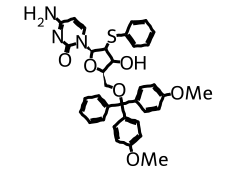 COc1ccc(C(OC[C@H]2O[C@@H](n3ccc(N)nc3=O)C(Sc3ccccc3)C2O)(c2ccccc2)c2ccc(OC)cc2)cc1